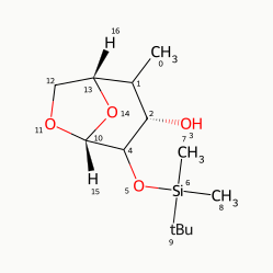 CC1[C@H](O)C(O[Si](C)(C)C(C)(C)C)[C@@H]2OC[C@H]1O2